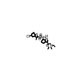 CCOC(CN(CC)CC)c1c[nH]c2c(NS(=O)(=O)c3sc4ccc(Cl)cc4c3C)cccc12